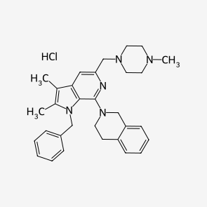 Cc1c(C)n(Cc2ccccc2)c2c(N3CCc4ccccc4C3)nc(CN3CCN(C)CC3)cc12.Cl